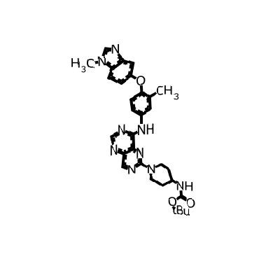 Cc1cc(Nc2ncnc3cnc(N4CCC(NC(=O)OC(C)(C)C)CC4)nc23)ccc1Oc1ccc2c(c1)ncn2C